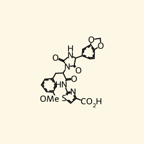 COc1cccc(CC(C(=O)Nc2nc(C(=O)O)cs2)N2C(=O)NC(c3ccc4c(c3)OCO4)C2=O)c1